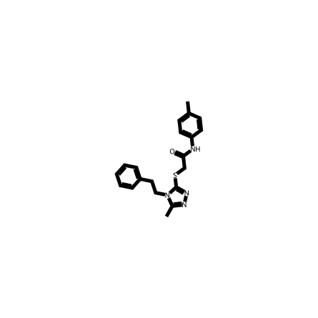 Cc1ccc(NC(=O)CSc2nnc(C)n2CCc2ccccc2)cc1